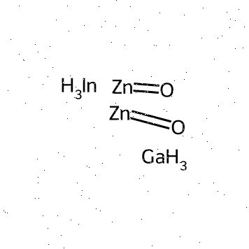 [GaH3].[InH3].[O]=[Zn].[O]=[Zn]